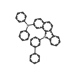 c1ccc(-c2cccc(-n3c4ccccc4c4ccc5ccc(N(c6ccccc6)c6ccccc6)cc5c43)c2)cc1